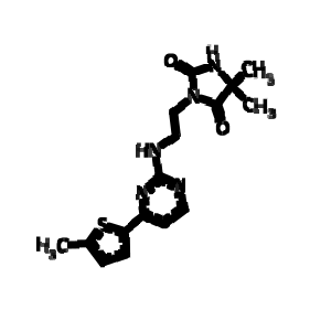 Cc1ccc(-c2ccnc(NCCN3C(=O)NC(C)(C)C3=O)n2)s1